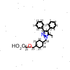 Cc1c(-c2ccccc2)c(-c2ccccc2)nn1CC1CCC(COCC(=O)O)CC1